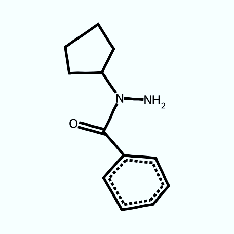 NN(C(=O)c1ccccc1)C1CCCC1